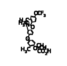 Cc1cc(Oc2cccc(CN(C)C(=O)c3ccc(OC(F)(F)F)cc3C)c2)ccc1OC(C)(C)C(=O)O